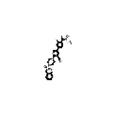 CN(C)C(=O)c1ccc(-c2cnc(N3CCN(S(=O)(=O)Cc4ccccc4F)CC3)c(C#N)c2)cc1Cl